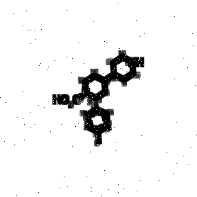 Cc1cnc([C@H]2CC(C3CCNCC3)CCN2C(=O)O)cn1